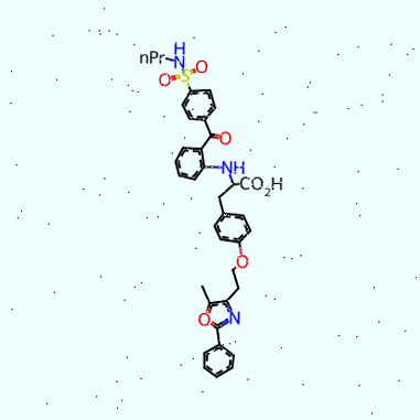 CCCNS(=O)(=O)c1ccc(C(=O)c2ccccc2NC(Cc2ccc(OCCc3nc(-c4ccccc4)oc3C)cc2)C(=O)O)cc1